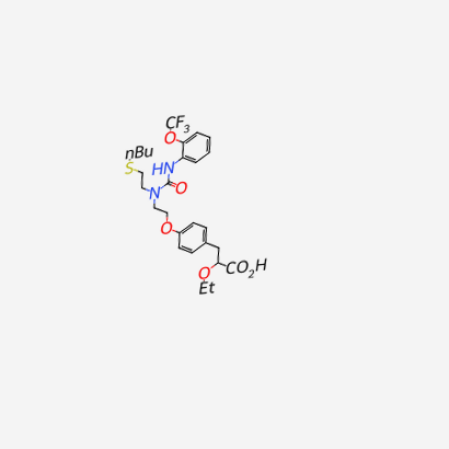 CCCCSCCN(CCOc1ccc(CC(OCC)C(=O)O)cc1)C(=O)Nc1ccccc1OC(F)(F)F